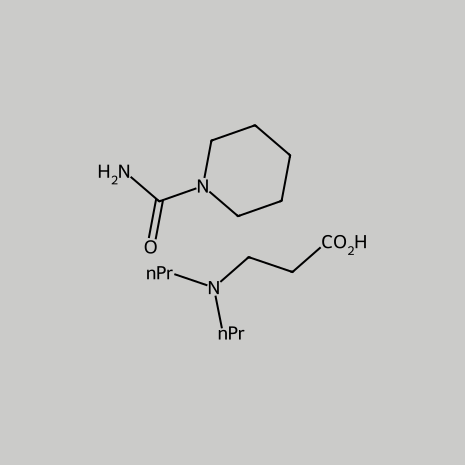 CCCN(CCC)CCC(=O)O.NC(=O)N1CCCCC1